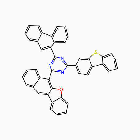 c1ccc2c(-c3nc(-c4ccc5c(c4)sc4ccccc45)nc(-c4cc5ccccc5c5ccccc45)n3)c3oc4ccccc4c3cc2c1